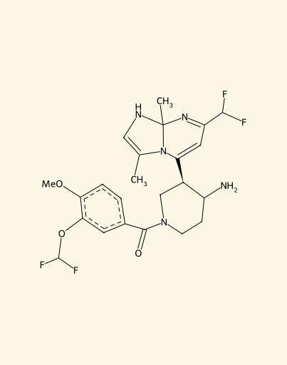 COc1ccc(C(=O)N2CCC(N)[C@H](C3=CC(C(F)F)=NC4(C)NC=C(C)N34)C2)cc1OC(F)F